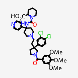 COc1cc(C(=O)N2CCC(CCN3CCC(NC(=O)N4CCCCC4C(=O)O)(c4ccncc4)CC3)(c3ccc(Cl)c(Cl)c3)C2)cc(OC)c1OC